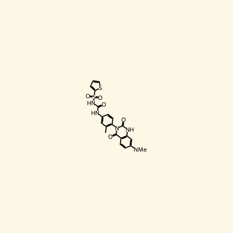 CNc1ccc2c(=O)n(-c3ccc(NC(=O)NS(=O)(=O)c4cccs4)cc3C)c(=O)[nH]c2c1